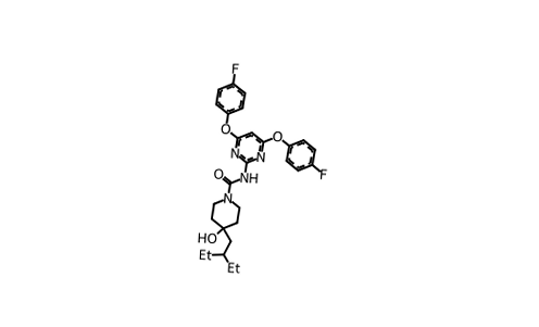 CCC(CC)CC1(O)CCN(C(=O)Nc2nc(Oc3ccc(F)cc3)cc(Oc3ccc(F)cc3)n2)CC1